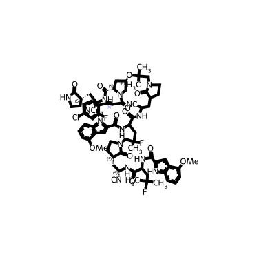 COc1cccc2[nH]c(C(=O)NC(CC(C)(F)CN3CC[C@@H](C[C@@H](C#N)NC(=O)C(CC(C)(C)F)NC(=O)c4cc5c(OC)cccc5[nH]4)C3=O)C(=O)NC(C#N)CC3CCN(CC(C)(C)O[C@@H]4C[C@@H](C(=O)N[C@H](C#N)C[C@@H]5CCNC5=O)N(C(=O)/C=C/c5ccc(Cl)cc5F)C4)C3=O)cc12